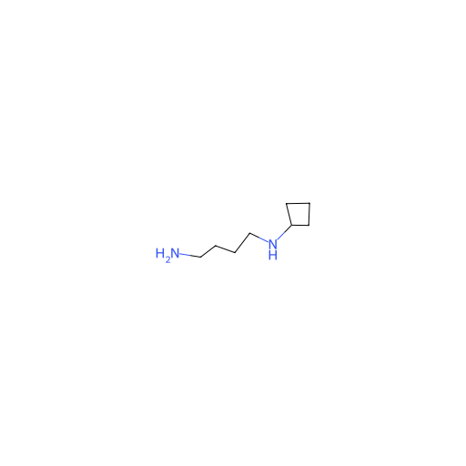 NCCCCNC1CCC1